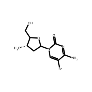 C[C@H]1CC(n2cc(Br)c(N)nc2=O)OC1CO